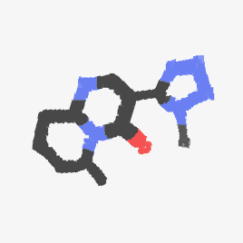 CCn1nnnc1-c1cnc2cccc(C)n2c1=O